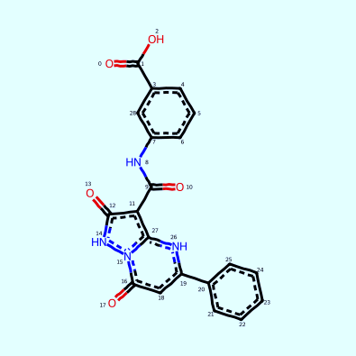 O=C(O)c1cccc(NC(=O)c2c(=O)[nH]n3c(=O)cc(-c4ccccc4)[nH]c23)c1